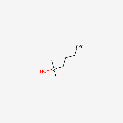 CCCCCC[Si](C)(C)O